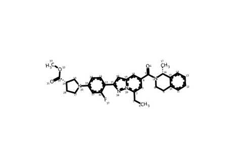 CCc1cc(C(=O)N2CCc3ccccc3[C@H]2C)cc2cc(-c3ccc(N4CC[C@H](C(=O)OC)C4)cc3F)nn12